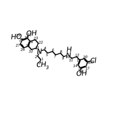 CCCN(CCCCCCNCCc1cc(O)cc(Cl)c1)[C@H]1CCc2c(ccc(O)c2O)C1